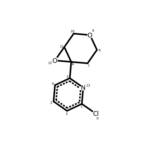 Clc1cccc(C23CCOCC2O3)n1